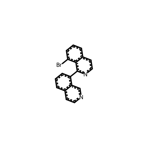 Brc1cccc2ccnc(-c3cccc4ccncc34)c12